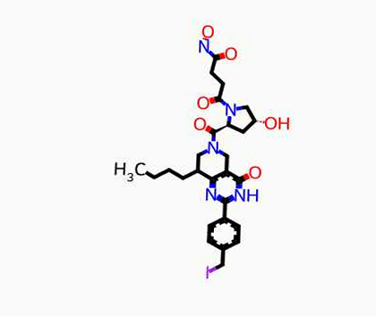 CCCCC1CN(C(=O)[C@@H]2C[C@@H](O)CN2C(=O)CCC(=O)N=O)Cc2c1nc(-c1ccc(CI)cc1)[nH]c2=O